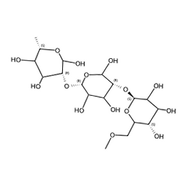 COCC1O[C@@H](O[C@H]2C(O)O[C@@H](O[C@H]3C(O)O[C@@H](C)C(O)C3O)C(O)C2O)C(O)C(O)[C@@H]1O